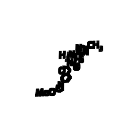 CO[C@@H]1CCN(c2ccc3c(c2)OC[C@H](NC(=O)c2sc4nc(C)cnc4c2N)C3)C1